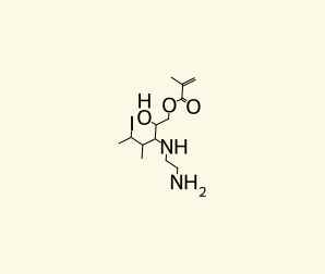 C=C(C)C(=O)OCC(O)C(NCCN)C(C)C(C)I